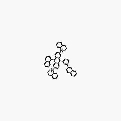 c1cc(-c2ccc3ccccc3c2)cc(-c2c3cc(N4CCCc5ccccc54)ccc3c(-c3cccc4ccccc34)c3cc(N4CCCc5ccccc54)ccc23)c1